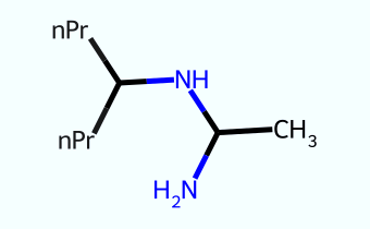 CCCC(CCC)NC(C)N